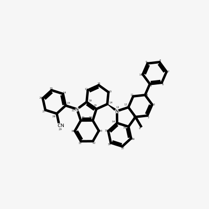 CC12C=CC(c3ccccc3)CC1N([C@@H]1CC=Cc3c1c1c(n3C3=CC=CCC3C#N)C=CCC1)c1ccccc12